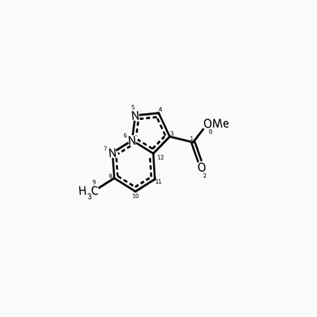 COC(=O)c1cnn2nc(C)ccc12